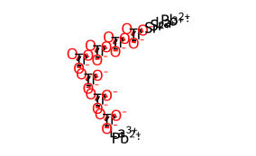 [La+3].[La+3].[O]=[Ti]([O-])[O-].[O]=[Ti]([O-])[O-].[O]=[Ti]([O-])[O-].[O]=[Ti]([O-])[O-].[O]=[Ti]([O-])[O-].[O]=[Ti]([O-])[O-].[O]=[Ti]([O-])[O-].[Pb+2].[Pb+2].[Sr+2].[Sr+2]